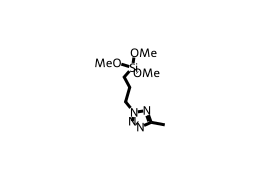 CO[Si](CCCn1nnc(C)n1)(OC)OC